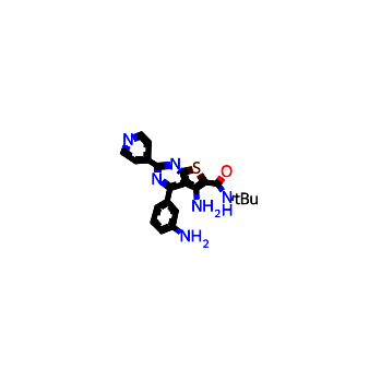 CC(C)(C)NC(=O)c1sc2nc(-c3ccncc3)nc(-c3cccc(N)c3)c2c1N